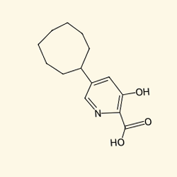 O=C(O)c1ncc(C2CCCCCCC2)cc1O